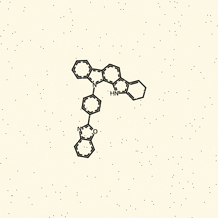 C1=c2[nH]c3c(ccc4c5ccccc5n(-c5ccc(-c6nc7ccccc7o6)cc5)c43)c2=CCC1